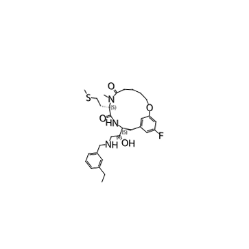 CCc1cccc(CNC[C@@H](O)[C@@H]2Cc3cc(F)cc(c3)OCCCCC(=O)N(C)[C@@H](CCSC)C(=O)N2)c1